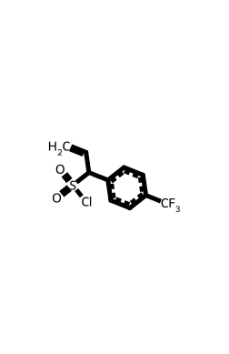 C=CC(c1ccc(C(F)(F)F)cc1)S(=O)(=O)Cl